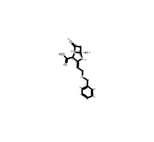 O=C(O)C1/C(=C/CSCc2ccccc2)S[C@@H]2CC(=O)N12